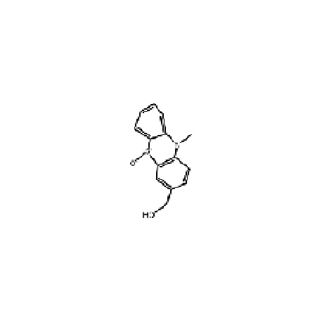 CN1c2ccccc2[S+]([O-])c2cc(CO)ccc21